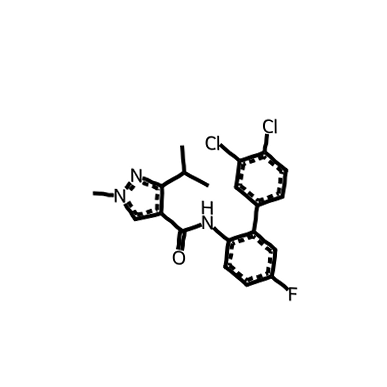 CC(C)c1nn(C)cc1C(=O)Nc1ccc(F)cc1-c1ccc(Cl)c(Cl)c1